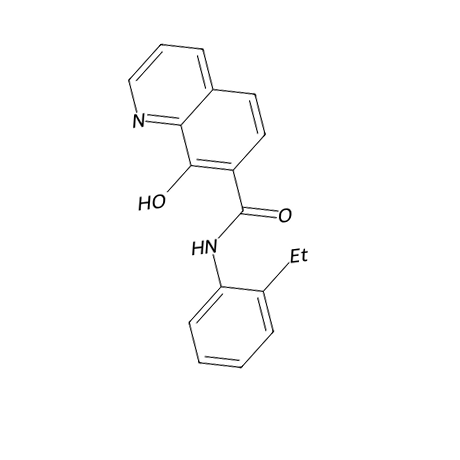 CCc1ccccc1NC(=O)c1ccc2cccnc2c1O